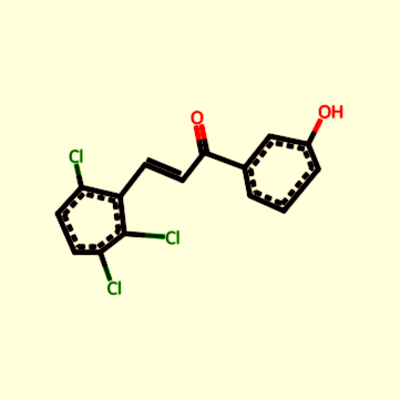 O=C(C=Cc1c(Cl)ccc(Cl)c1Cl)c1cccc(O)c1